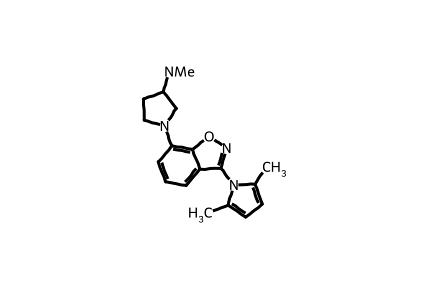 CNC1CCN(c2cccc3c(-n4c(C)ccc4C)noc23)C1